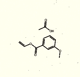 C=COC(=O)c1cccc(OC)c1.CC(=O)O